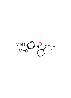 COc1ccc(C(=O)[C@@H]2CCCC[C@@H]2C(=O)O)cc1OC